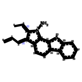 C=C/C=c1\c(=C/C)n(N)c2c1ccc1c3ccccc3sc12